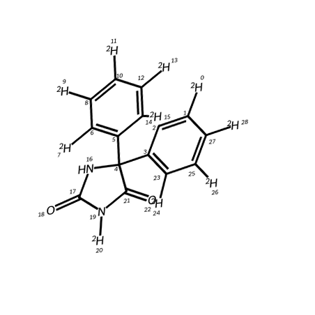 [2H]c1cc(C2(c3c([2H])c([2H])c([2H])c([2H])c3[2H])NC(=O)N([2H])C2=O)c([2H])c([2H])c1[2H]